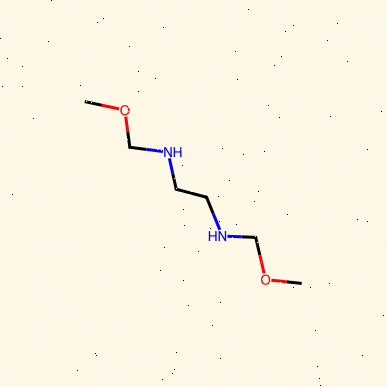 COCNCCNCOC